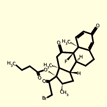 CCCC(=O)O[C@@]1(C(=O)CBr)[C@@H](C)C[C@H]2[C@@H]3CCC4=CC(=O)C=C[C@]4(C)[C@@]3(F)C(=O)C[C@@]21C